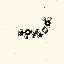 COc1ccc(N2CCN(CC(C)(C)NC(=O)C(=O)Nc3ccc(-c4cnco4)c(OC)c3)CC2)cc1OC